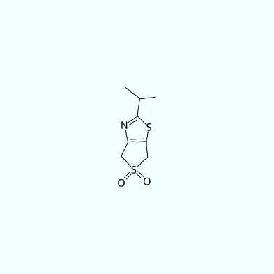 CC(C)c1nc2c(s1)CS(=O)(=O)C2